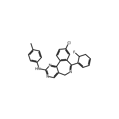 Cc1ccc(Nc2ncc3c(n2)-c2ccc(Cl)cc2C(C2=CC=CCC2F)=NC3)cc1